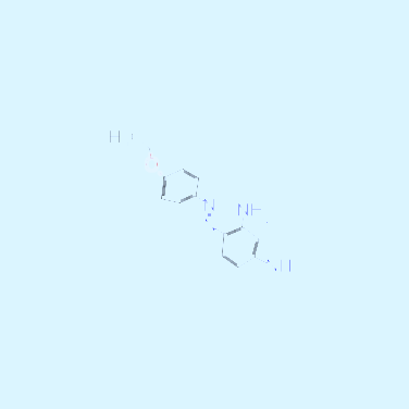 CCOc1ccc(/N=N/c2ccc(N)cc2N)cc1